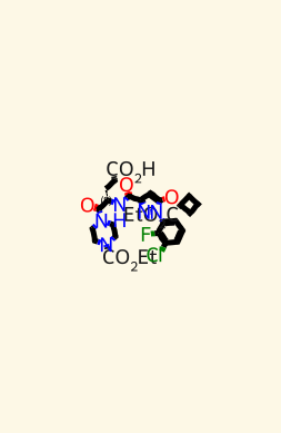 CCOC(=O)N1CCN(C(=O)[C@H](CCC(=O)O)NC(=O)c2cc(OC3(C(=O)OCC)CCC3)n(-c3cccc(Cl)c3F)n2)CC1